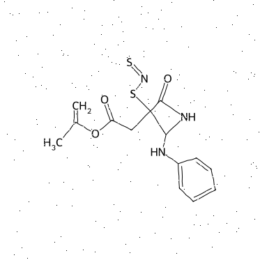 C=C(C)OC(=O)CC1(SN=S)C(=O)NC1Nc1ccccc1